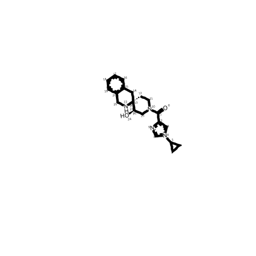 O=C(c1cn(C2CC2)cn1)N1CC[C@]2(Cc3ccccc3CN2)[C@H](O)C1